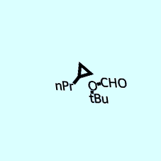 CC(C)(C)OC=O.CCCC1CC1